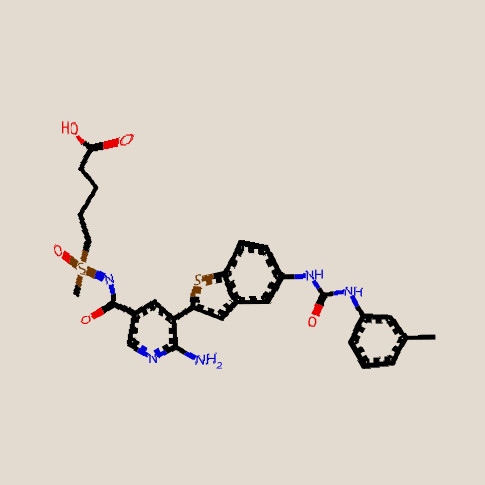 Cc1cccc(NC(=O)Nc2ccc3sc(-c4cc(C(=O)N=S(C)(=O)CCCCC(=O)O)cnc4N)cc3c2)c1